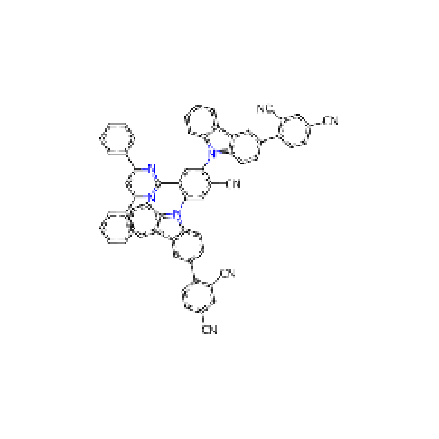 N#Cc1ccc(-c2ccc3c(c2)c2ccccc2n3-c2cc(-c3nc(-c4ccccc4)cc(-c4ccccc4)n3)c(-n3c4ccccc4c4cc(-c5ccc(C#N)cc5C#N)ccc43)cc2C#N)c(C#N)c1